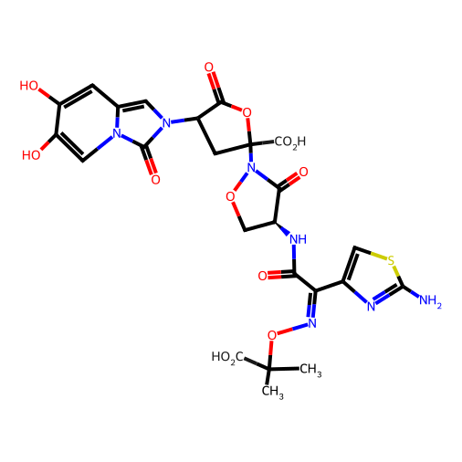 CC(C)(O/N=C(\C(=O)N[C@H]1CON(C2(C(=O)O)CC(n3cc4cc(O)c(O)cn4c3=O)C(=O)O2)C1=O)c1csc(N)n1)C(=O)O